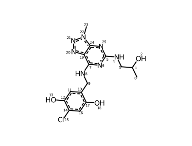 CC(O)CNc1nc(NCc2cc(O)c(Cl)cc2O)c2nnn(C)c2n1